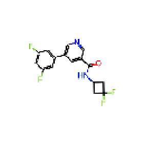 O=C(NC1CC(F)(F)C1)c1cncc(-c2cc(F)cc(F)c2)c1